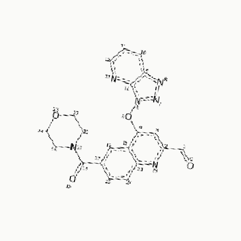 O=Cc1cc(On2nnc3cccnc32)c2cc(C(=O)N3CCOCC3)ccc2n1